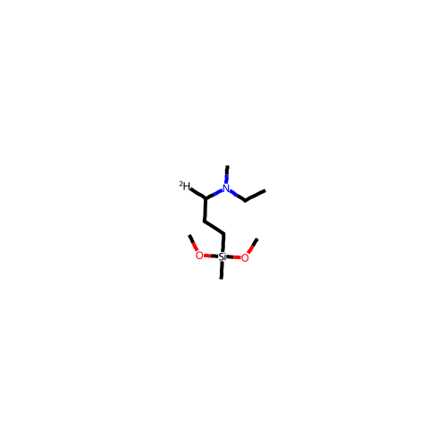 [2H]C(CC[Si](C)(OC)OC)N(C)CC